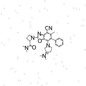 Cc1c(-c2ccccc2)c(N2CC[C@H](N(C)C)C2)c2oc(N3CCC3C(=O)N(C)C)nc2c1C#N